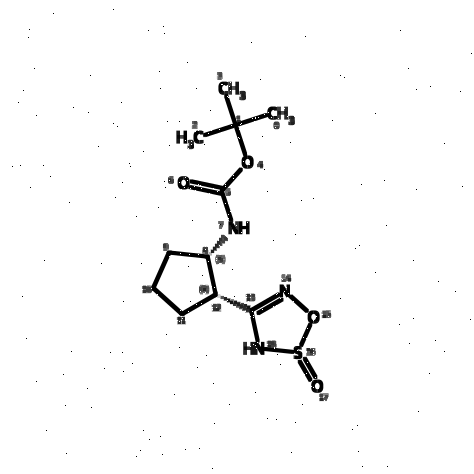 CC(C)(C)OC(=O)N[C@H]1CCC[C@H]1C1=NOS(=O)N1